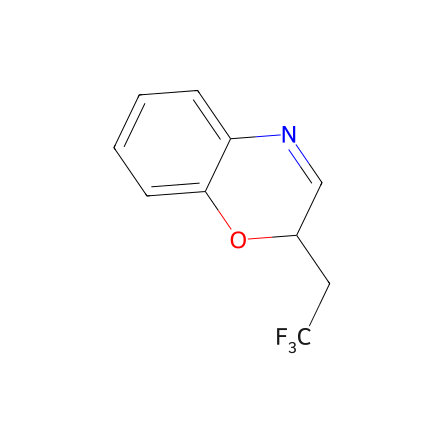 FC(F)(F)CC1C=Nc2ccccc2O1